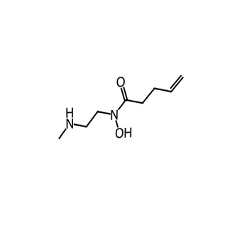 C=CCCC(=O)N(O)CCNC